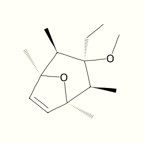 CC[C@]1(OC)[C@@H](C)[C@@]2(C)C=C[C@](C)(O2)[C@H]1C